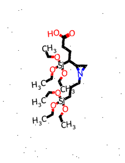 CCO[Si](CCCN1CC1C(CCC(=O)O)[Si](OCC)(OCC)OCC)(OCC)OCC